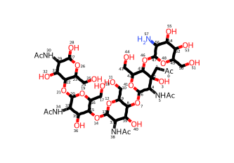 CC(=O)CC1(O)C(NC(C)=O)C(OC2C(CO)OC(OC3C(CO)OC(OC4C(CO)OC(O)C(NC(C)=O)C4O)C(NC(C)=O)C3O)C(NC(C)=O)C2O)OC(CO)C1OC1OC(CO)C(O)C(O)C1N